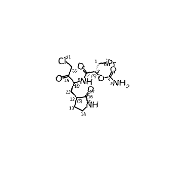 CC(C)C[C@H](OC(N)=O)C(=O)N[C@@H](C[C@@H]1CCNC1=O)C(=O)CCl